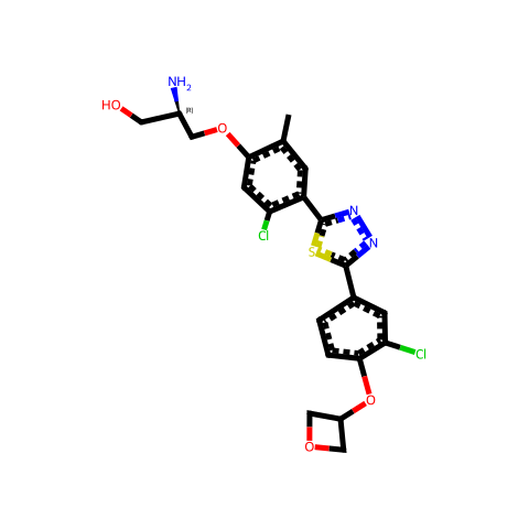 Cc1cc(-c2nnc(-c3ccc(OC4COC4)c(Cl)c3)s2)c(Cl)cc1OC[C@H](N)CO